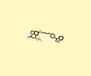 CC1CC(=O)N2CCc3cc(OCCCCN4CCN(c5nsc6ccccc56)CC4)cc1c32